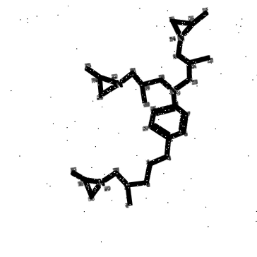 CC(CCCc1ccc(N(CC(C)CN2CC2C)CC(C)CN2CC2C)cc1)CN1CC1C